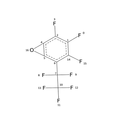 Fc1c(F)c2c(c(C(F)(F)C(F)(F)F)c1F)O2